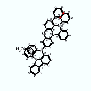 Cc1ccc(N(c2ccc3c(c2)Oc2ccc(-c4ccccc4)c4c2B3c2ccccc2N4c2ccccc2)c2cccc3c4ccccc4n(-c4ccccc4)c23)cc1